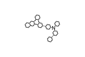 c1ccc(-c2cccc(N(c3ccccc3)c3ccc(-c4ccc5c(c4)c4ccccc4c4cc6ccccc6cc54)cc3)c2)cc1